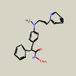 CN(CCc1ccccn1)c1ccc(C(C(=O)NO)c2ccccc2)cc1